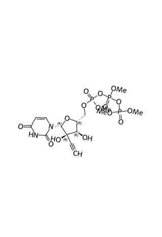 C#C[C@@]1(O)[C@H](O)[C@@H](COP(=O)(OC)OP(=O)(OC)OP(=O)(OC)OC)O[C@H]1n1ccc(=O)[nH]c1=O